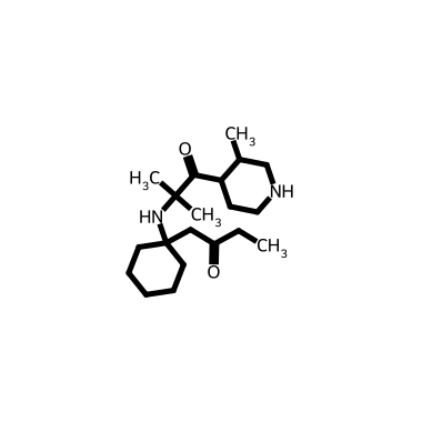 CCC(=O)CC1(NC(C)(C)C(=O)C2CCNCC2C)CCCCC1